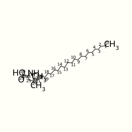 CCCCCCCCCCCCCCCCCCCCCCC(C)(C)C[C@H](N)C(=O)O